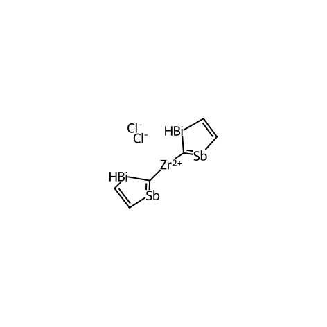 [CH]1=[CH][BiH][C]([Zr+2][C]2=[Sb][CH]=[CH][BiH]2)=[Sb]1.[Cl-].[Cl-]